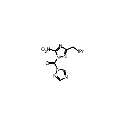 CC(C)Cc1nc([N+](=O)[O-])n(C(=O)n2cncn2)n1